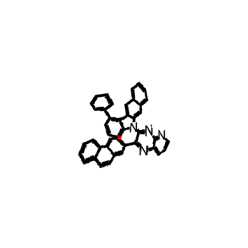 c1ccc(-c2cccc3c2c2cc4ccccc4cc2n3-c2nc3ncccc3nc2-c2ccc3c(ccc4ccccc43)c2)cc1